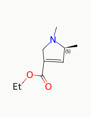 CCOC(=O)C1=C[C@H](C)N(C)C1